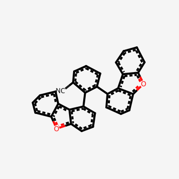 N#Cc1cccc(-c2cccc3oc4ccccc4c23)c1-c1cccc2oc3ccccc3c12